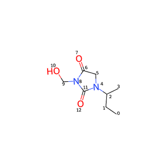 CCC(C)N1CC(=O)N(CO)C1=O